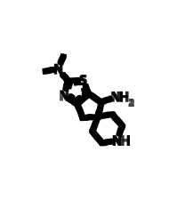 CN(C)c1nc2c(s1)C(N)C1(CCNCC1)C2